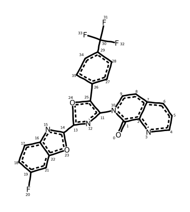 O=c1c2ncccc2ccn1-c1nc(-c2nc3ccc(F)cc3o2)oc1-c1ccc(C(F)(F)F)cc1